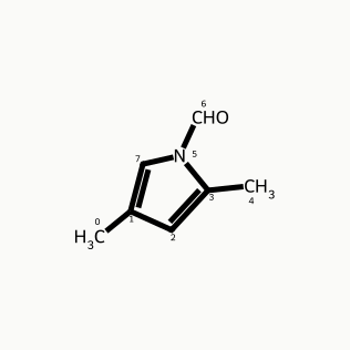 Cc1cc(C)n(C=O)c1